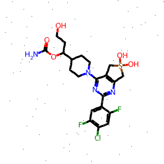 NC(=O)OC(CCO)C1CCN(c2nc(-c3cc(F)c(Cl)cc3F)nc3c2CS(O)(O)C3)CC1